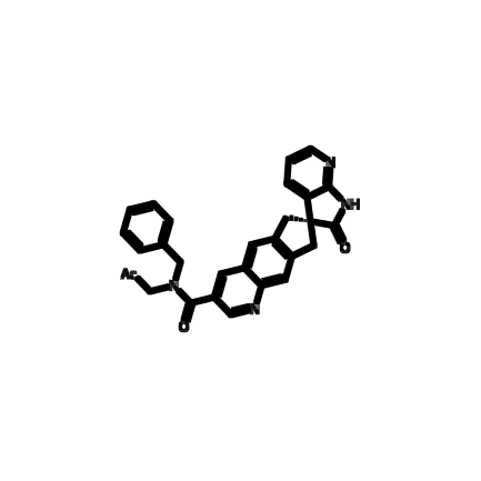 CC(=O)CN(Cc1ccccc1)C(=O)c1cnc2cc3c(cc2c1)C[C@@]1(C3)C(=O)Nc2ncccc21